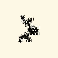 C[C@H](NC(=O)OC(C)(C)C)C(=O)N(CCNc1ccc(NCCN(C(=O)[C@H](C)NC(=O)OC(C)(C)C)[C@@H](C)C(=O)O)c2c1C(=O)c1c(O)ccc(O)c1C2=O)[C@@H](C)C(=O)O